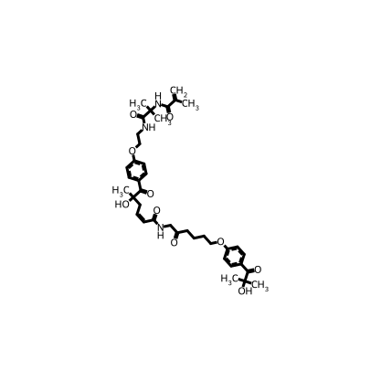 C=C(C)C(=O)NC(C)(C)C(=O)NCCOc1ccc(C(=O)C(C)(O)C/C=C\C(=O)NCC(=O)CCCCOc2ccc(C(=O)C(C)(C)O)cc2)cc1